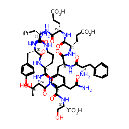 CC(C)C[C@H](NC(=O)[C@H](CCC(=O)O)NC(=O)[C@H](CCC(=O)O)NC(=O)[C@H](Cc1ccccc1)NC(=O)[C@@H](N)Cc1ccccc1)C(=O)N[C@@H](Cc1ccc(O)cc1)C(=O)N[C@@H](CCCNC(=N)N)C(=O)N[C@H](C(=O)N[C@@H](CCC(N)=O)C(=O)N[C@@H](CO)C(=O)O)[C@@H](C)O